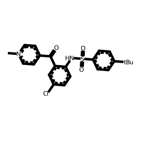 C[n+]1ccc(C(=O)c2cc(Cl)ccc2NS(=O)(=O)c2ccc(C(C)(C)C)cc2)cc1